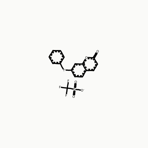 O=S(=O)([O-])C(F)(F)F.O=c1ccc2ccc([I+]c3ccccc3)cc2o1